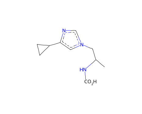 CC(Cn1cnc(C2CC2)c1)NC(=O)O